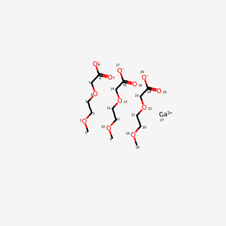 COCCOCC(=O)[O-].COCCOCC(=O)[O-].COCCOCC(=O)[O-].[Ga+3]